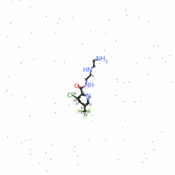 NCCNCCNC(=O)c1ncc(C(F)(F)F)cc1Cl